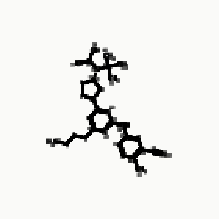 CCCCc1cc(N2CC[C@H](N(C(=O)O)C(C)(C)C)C2)nc(Nc2ccc(C)c(C#N)c2)n1